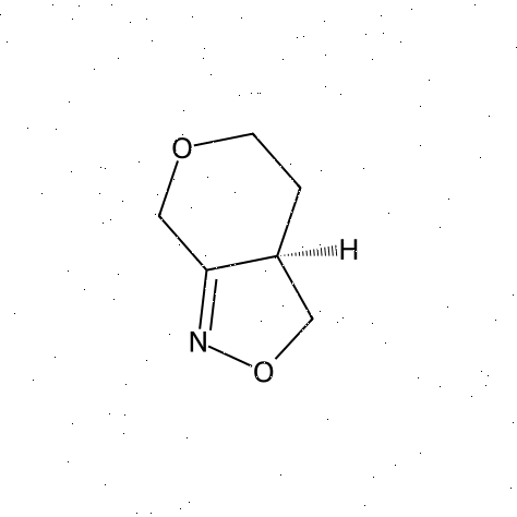 C1C[C@H]2CON=C2CO1